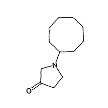 O=C1CCN(C2CCCCCCC2)C1